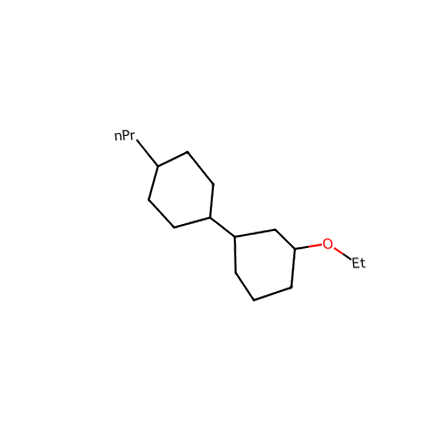 CCCC1CCC(C2CCCC(OCC)C2)CC1